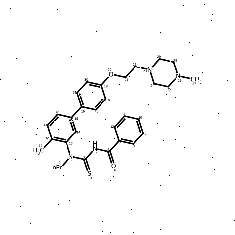 CCCN(C(=S)NC(=O)c1ccccc1)c1cc(-c2ccc(OCCN3CCN(C)CC3)cc2)ccc1C